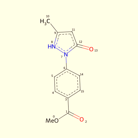 COC(=O)c1ccc(-n2[nH]c(C)cc2=O)cc1